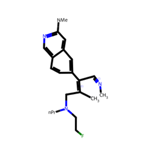 CCCN(CCF)C/C(C)=C(/C=N\C)c1ccc2cnc(NC)cc2c1